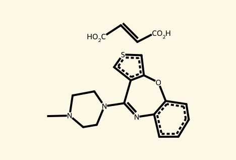 CN1CCN(C2=Nc3ccccc3Oc3cscc32)CC1.O=C(O)C=CC(=O)O